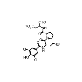 O=CC(CC(=O)O)NC(=O)[C@@H]1CCCN1C(=O)[C@H](CCS)NC(=O)c1cc(Cl)c(O)c(Cl)c1